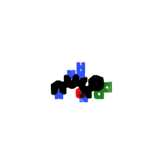 Clc1cccc(-c2cnoc2C2CNc3ncc(-c4cccnc4)cc32)c1Cl